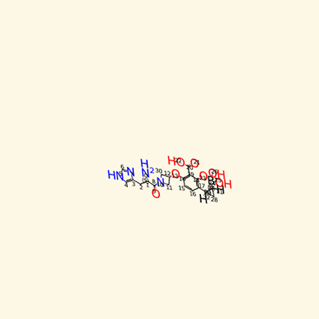 N[C@@H](Cc1c[nH]cn1)C(=O)N1CC(Oc2ccc3c(c2C(=O)O)O[B-](O)(O)[C@@H]2C[C@H]32)C1